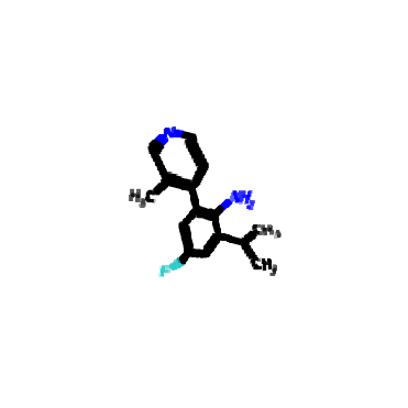 Cc1cnccc1-c1cc(F)cc(C(C)C)c1N